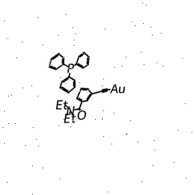 CCN(CC)C(=O)c1cccc(C#[C][Au])c1.c1ccc(P(c2ccccc2)c2ccccc2)cc1